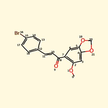 COc1cc2c(cc1C(=O)C=Cc1ccc(Br)cc1)OCO2